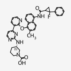 Cc1ccc2c(NC(=O)C3CC3(F)c3ccccc3)cccc2c1Oc1ncccc1-c1ccnc(N[C@H]2CCCN(C(=O)O)C2)n1